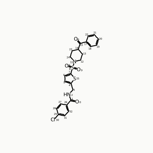 O=C(NCc1ccc(S(=O)(=O)N2CCC(C(=O)c3ccccc3)CC2)s1)c1ccc(Cl)cc1